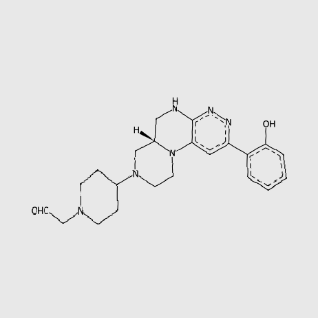 O=CCN1CCC(N2CCN3c4cc(-c5ccccc5O)nnc4NC[C@H]3C2)CC1